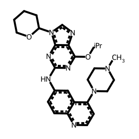 CC(C)Oc1nc(Nc2ccc3nccc(N4CCN(C)CC4)c3c2)nc2c1ncn2C1CCCCO1